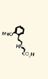 COc1ccccc1CCNCC(=O)O